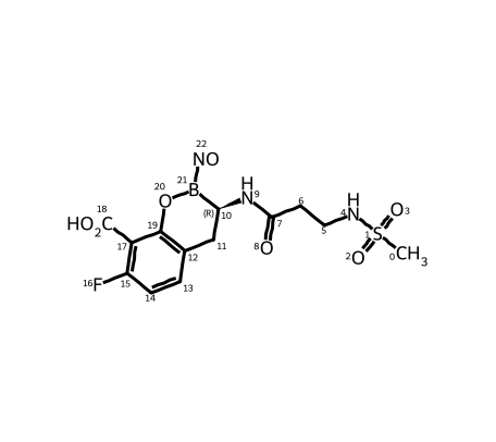 CS(=O)(=O)NCCC(=O)N[C@H]1Cc2ccc(F)c(C(=O)O)c2OB1N=O